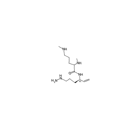 C=C[C@@H](CCCNN)NC(=O)C(CCCNC)NC